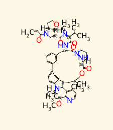 C=CC(=O)N1C[C@@H](C(=O)N(C)[C@H](C(=O)N[C@H]2Cc3cccc(c3)-c3ccc4c(c3)c(c(-c3cccnc3[C@H](C)OC)n4CC)CC(C)(C)COC(=O)[C@@H]3CCCN(N3)C2=O)C(C)C)[C@H]2OCC[C@H]21